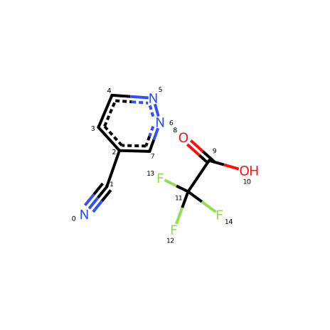 N#Cc1ccnnc1.O=C(O)C(F)(F)F